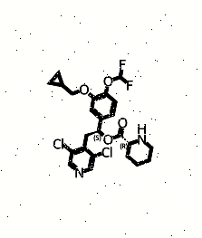 O=C(O[C@@H](Cc1c(Cl)cncc1Cl)c1ccc(OC(F)F)c(OCC2CC2)c1)[C@H]1CCCCN1